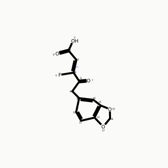 O=C(O)/C=C(\F)C(=O)Cc1ccc2c(c1)OCO2